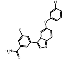 NC(=O)c1cc(F)cc(-c2cnc3ccc(Oc4cccc(Cl)c4)nn23)c1